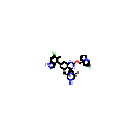 Cc1c(Cl)cc2[nH]ncc2c1-c1ccc2c(N3[C@@H]4CC[C@H]3CNC4)nc(OC[C@@]34CCCN3C[C@H](F)C4)nc2c1